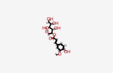 COc1cc(C=CC(=O)O[C@@H](C=O)[C@@H](O)[C@H](O)[C@H](O)CO)ccc1O